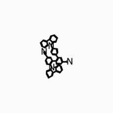 N#Cc1ccc(-c2cc(C#N)ccc2-n2c3ccccc3c3ccccc32)c(-c2ccc(-n3c4ccccc4c4ccccc43)cc2)c1